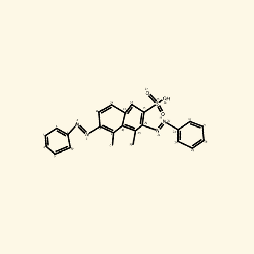 Cc1c(N=Nc2ccccc2)ccc2cc(S(=O)(=O)O)c(N=Nc3ccccc3)c(C)c12